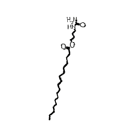 CCCCCCCCCCCCCCCCCC(=O)OCCCCNC(N)=O